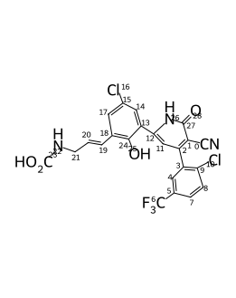 N#Cc1c(-c2cc(C(F)(F)F)ccc2Cl)cc(-c2cc(Cl)cc(/C=C/CNC(=O)O)c2O)[nH]c1=O